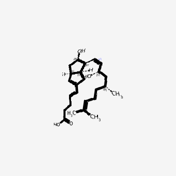 CC(C)=CCC[C@@H](C)C[C@H](O)/C=C\[C@H]1[C@H]2CC(C=CCCC(=O)O)=C[C@H]2C[C@H]1O